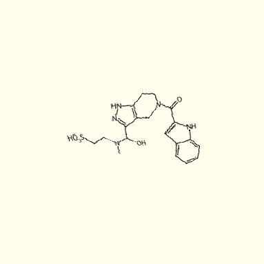 CN(CCS(=O)(=O)O)C(O)c1n[nH]c2c1CN(C(=O)c1cc3ccccc3[nH]1)CC2